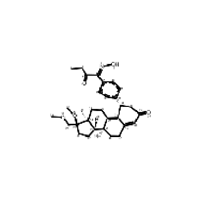 CCC(=O)/C(=N/O)c1ccc([C@@H]2CC(=O)C=C3CC[C@@H]4C(=C32)CC[C@@]2(C)[C@H]4CC[C@]2(COC)OC)cc1